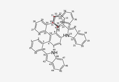 c1ccc(-c2cccc(-c3ccccc3-c3cc4ccccc4[nH]3)c2-c2ccccc2-c2cc3ccccc3[nH]2)c(-c2cc3ccccc3[nH]2)c1